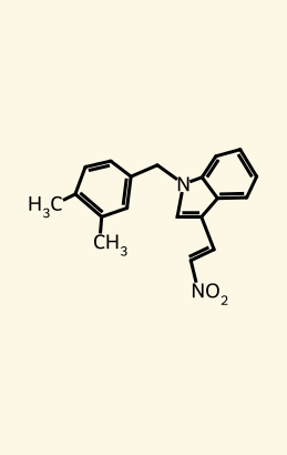 Cc1ccc(Cn2cc(C=C[N+](=O)[O-])c3ccccc32)cc1C